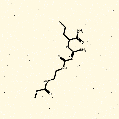 CCCC(N/C(N)=N\C(=O)NCCNC(=O)CC)C(N)=O